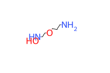 NCCCOCCNO